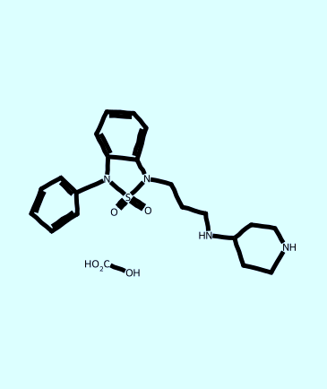 O=C(O)O.O=S1(=O)N(CCCNC2CCNCC2)c2ccccc2N1c1ccccc1